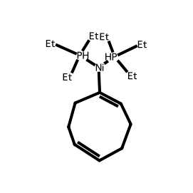 CC[PH](CC)(CC)[Ni]([C]1=CCCC=CCC1)[PH](CC)(CC)CC